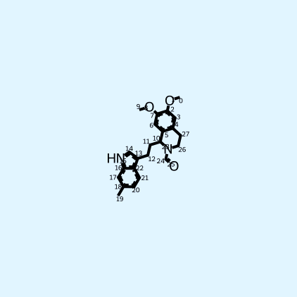 COc1cc2c(cc1OC)C(CCc1c[nH]c3cc(C)ccc13)N(C=O)CC2